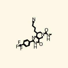 CNC(=O)N1Cc2c(nc(-c3ccc(C(F)(F)F)cc3)[nH]c2=O)C(CCCC#N)C1